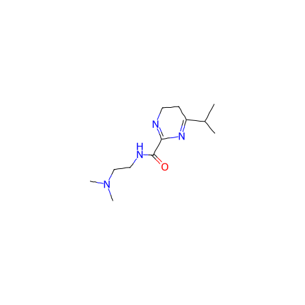 CC(C)C1=NC(C(=O)NCCN(C)C)=NCC1